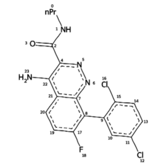 CCCNC(=O)c1nnc2c(-c3cc(Cl)ccc3Cl)c(F)ccc2c1N